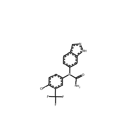 NC(=O)N(c1ccc(Cl)c(C(F)(F)F)c1)c1ccc2cn[nH]c2c1